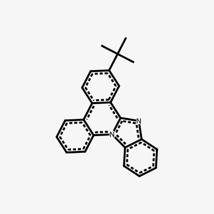 CC(C)(C)c1ccc2c3ccccc3n3c4ccccc4nc3c2c1